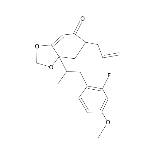 C=CCC1CC2(C(C)Cc3ccc(OC)cc3F)OCOC2=CC1=O